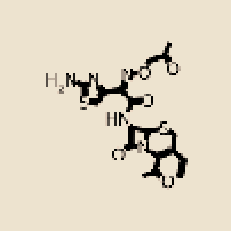 C=CC1=C(C(C)=O)N2C(=O)C(NC(=O)/C(=N\OCC(C)=O)c3csc(N)n3)C2SC1